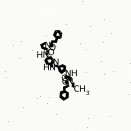 CCCN(CC(=O)Nc1ccc(-c2nc3cc(NC(=O)[C@@H]4CCCN4C(=O)CCc4ccccc4)ccc3[nH]2)cc1)C(=O)CCc1ccccc1